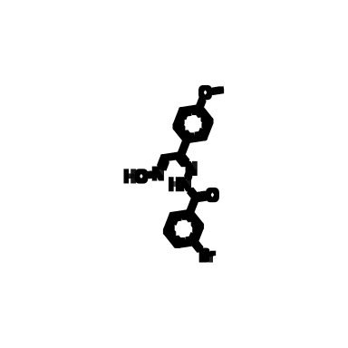 COc1ccc(C(C=NO)=NNC(=O)c2cccc(Br)c2)cc1